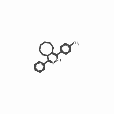 Cc1ccc(C2=C3CCCCCCC3C(c3ccccc3)=NN2)cc1